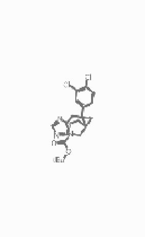 CC(C)(C)OC(=O)N1CCC2(c3ccc(Cl)c(Cl)c3)CC2(Cn2cncn2)C1